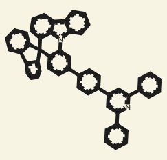 c1ccc(-c2cc(-c3ccc(-c4ccc5c(c4)-n4c6ccccc6c6cccc(c64)C54c5ccccc5-c5ccccc54)cc3)cc(-c3ccccc3)n2)cc1